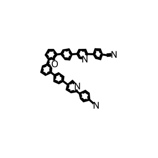 N#Cc1ccc(-c2ccc(-c3ccc(-c4cccc5c4oc4c(-c6ccc(-c7ccc(-c8ccc(C#N)cc8)nc7)cc6)cccc45)cc3)cn2)cc1